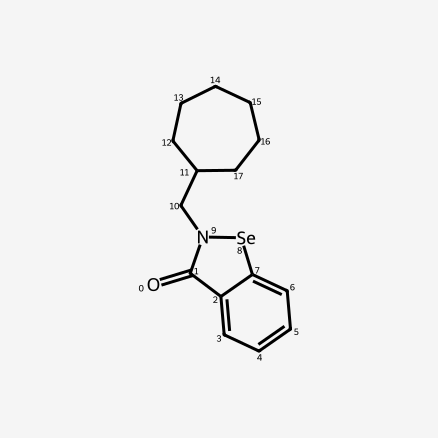 O=c1c2ccccc2[se]n1CC1CCCCCC1